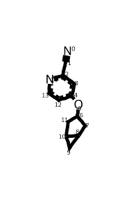 N#Cc1cc(OC2CC3CC3C2)ccn1